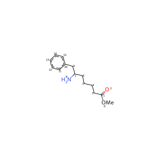 COC(=O)CCCCC(N)Cc1ccccc1